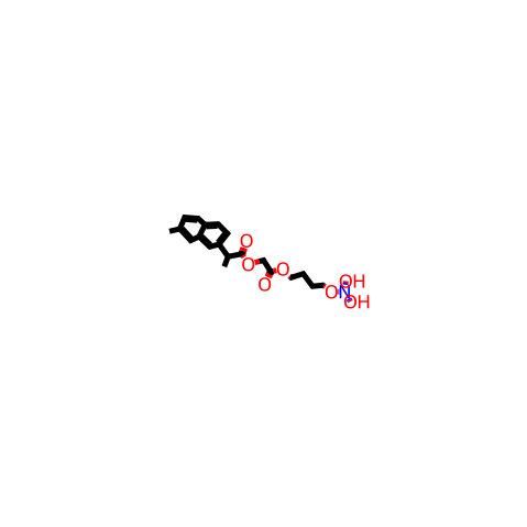 Cc1ccc2ccc(C(C)C(=O)OCC(=O)OCCCCON(O)O)cc2c1